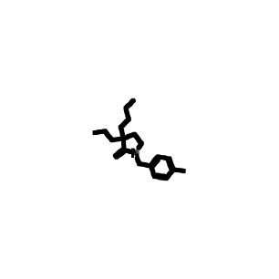 C=C1N(Cc2ccc(C)cc2)CCC1(CCC)CCCC